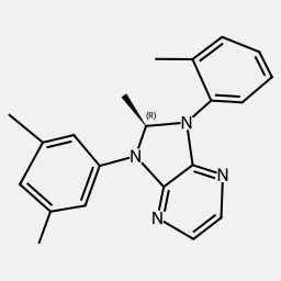 Cc1cc(C)cc(N2c3nccnc3N(c3ccccc3C)[C@@H]2C)c1